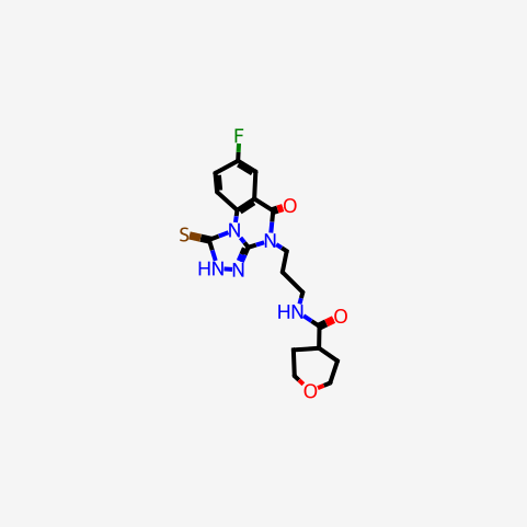 O=C(NCCCn1c(=O)c2cc(F)ccc2n2c(=S)[nH]nc12)C1CCOCC1